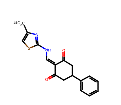 CCOC(=O)c1csc(NC=C2C(=O)CC(c3ccccc3)CC2=O)n1